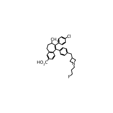 CC1CCc2cc(C(=O)O)ccc2C(c2ccc(CC3CN(CCCF)C3)cc2)=C1c1ccc(Cl)cc1